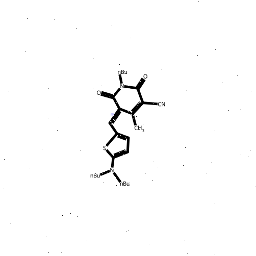 CCCCN1C(=O)C(C#N)=C(C)/C(=C\c2ccc(N(CCCC)CCCC)s2)C1=O